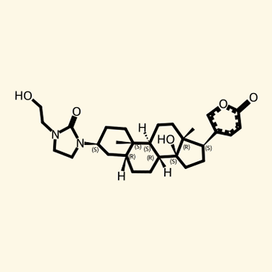 C[C@]12CC[C@H](N3CCN(CCO)C3=O)C[C@H]1CC[C@@H]1[C@@H]2CC[C@]2(C)[C@@H](c3ccc(=O)oc3)CC[C@]12O